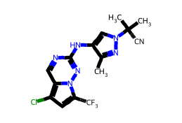 Cc1nn(C(C)(C)C#N)cc1Nc1ncc2c(Cl)cc(C(F)(F)F)n2n1